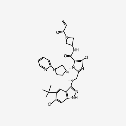 C=CC(=O)N1CC(NC(=O)c2c(Cl)nc(CNc3n[nH]c4cc(Cl)c(C(C)(C)C)cc34)n2[C@@H]2CCN(c3ccccn3)C2)C1